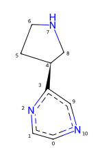 c1cnc([C@H]2CCNC2)cn1